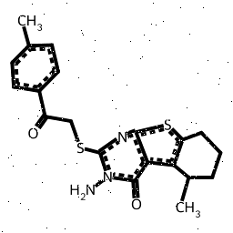 Cc1ccc(C(=O)CSc2nc3sc4c(c3c(=O)n2N)C(C)CCC4)cc1